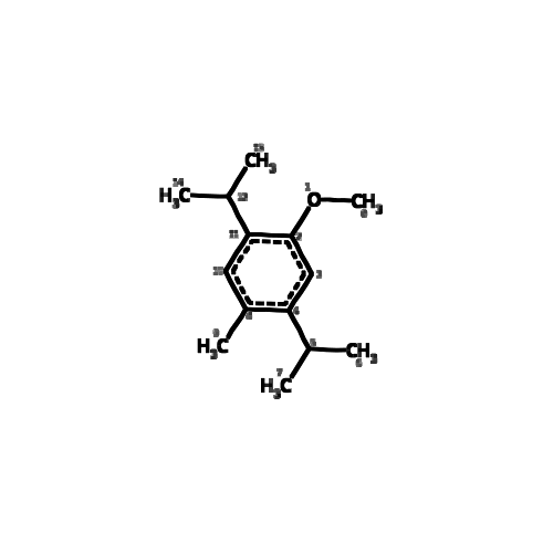 COc1cc(C(C)C)c(C)cc1C(C)C